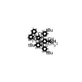 CC1=C(n2c3ccccc3c3ccccc32)C(C)(C)C2=C1N(c1ccc(C(C)(C)C)cc1)c1cc(C(C)(C)N)cc3c1B2c1cc(C(C)(C)C)ccc1N3c1ccc(C(C)(C)C)cc1